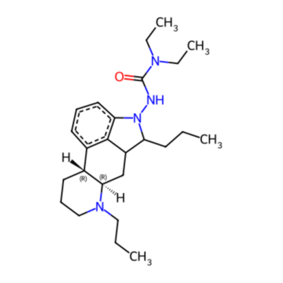 CCCC1C2C[C@@H]3[C@H](CCCN3CCC)c3cccc(c32)N1NC(=O)N(CC)CC